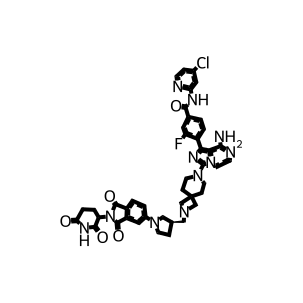 Nc1nccn2c(N3CCC4(CC3)CN(C[C@H]3CCN(c5ccc6c(c5)C(=O)N(C5CCC(=O)NC5=O)C6=O)C3)C4)nc(-c3ccc(C(=O)Nc4cc(Cl)ccn4)cc3F)c12